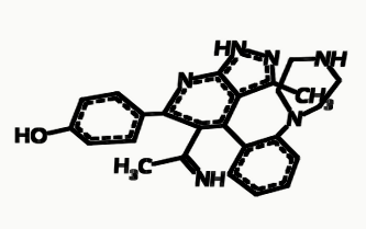 CC(=N)c1c(-c2ccc(O)cc2)nc2[nH]nc(C)c2c1-c1ccccc1N1CCNCC1